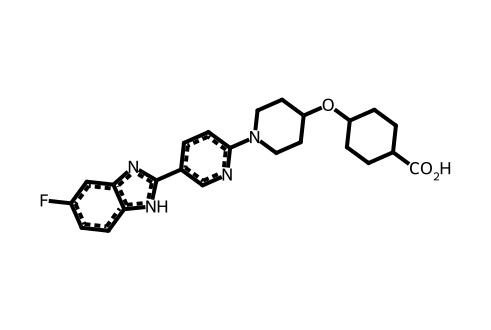 O=C(O)C1CCC(OC2CCN(c3ccc(-c4nc5cc(F)ccc5[nH]4)cn3)CC2)CC1